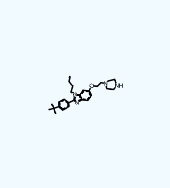 CCCCn1c(-c2ccc(C(C)(C)C)cc2)nc2ccc(OCCN3CCNCC3)cc21